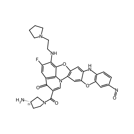 N[C@H]1CCN(C(=O)c2cn3c4cc5oc6cc(N=O)ccc6[nH]c5cc4oc4c(NCCN5CCCC5)c(F)cc(c2=O)c43)C1